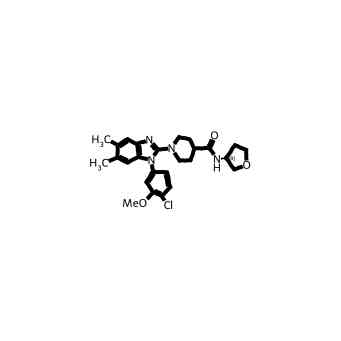 COc1cc(-n2c(N3CCC(C(=O)N[C@@H]4CCOC4)CC3)nc3cc(C)c(C)cc32)ccc1Cl